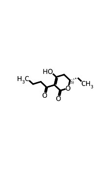 CCCC(=O)C1=C(O)C[C@H](CC)OC1=O